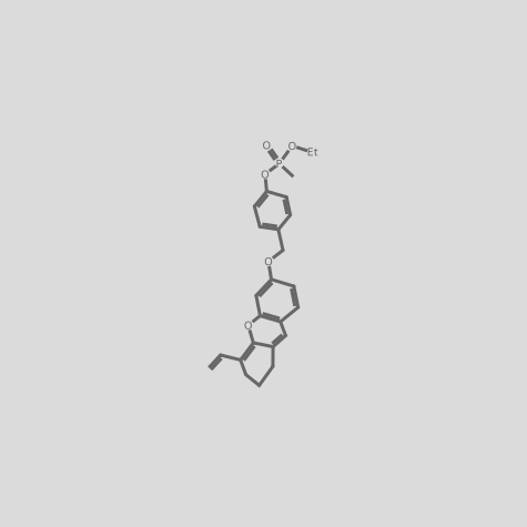 C=CC1=C2Oc3cc(OCc4ccc(OP(C)(=O)OCC)cc4)ccc3C=C2CCC1